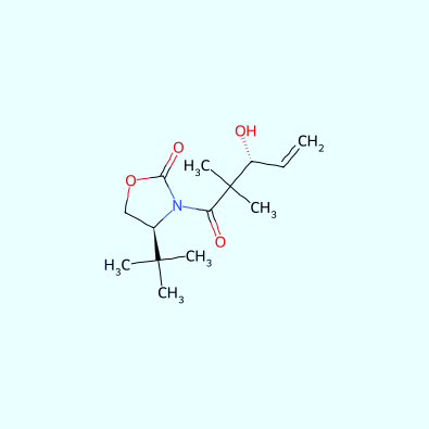 C=C[C@@H](O)C(C)(C)C(=O)N1C(=O)OC[C@@H]1C(C)(C)C